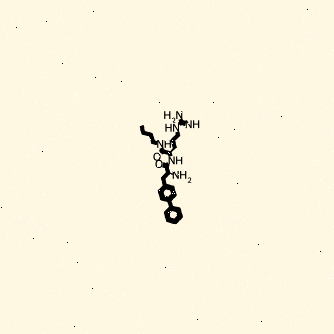 CCCCNC(=O)[C@@H](CCCNC(=N)N)NC(=O)[C@H](N)Cc1ccc(-c2ccccc2)cc1